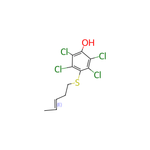 C/C=C/CCSc1c(Cl)c(Cl)c(O)c(Cl)c1Cl